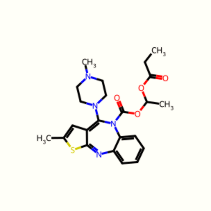 CCC(=O)OC(C)OC(=O)N1C(N2CCN(C)CC2)=c2cc(C)sc2=Nc2ccccc21